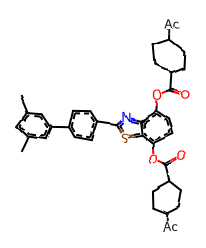 CC(=O)C1CCC(C(=O)Oc2ccc(OC(=O)C3CCC(C(C)=O)CC3)c3sc(-c4ccc(-c5cc(C)cc(C)c5)cc4)nc23)CC1